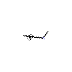 CCCCCC/C=C\CCCCCCCCOC(=O)CCCCC